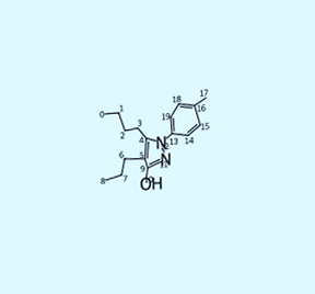 CCCCc1c(CCC)c(O)nn1-c1ccc(C)cc1